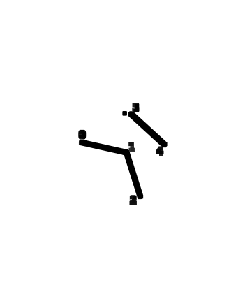 CCC.[CH2]C